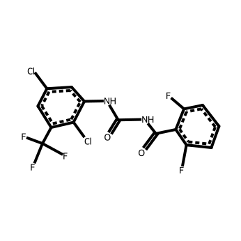 O=C(NC(=O)c1c(F)cccc1F)Nc1cc(Cl)cc(C(F)(F)F)c1Cl